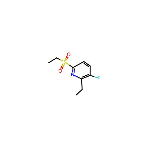 CCc1nc(S(=O)(=O)CC)ccc1F